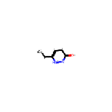 CCCCCC1=CCC(=O)NN1